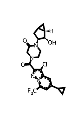 O=C(c1nn2c(C(F)(F)F)cc(C3CC3)cc2c1Cl)N1CCN([C@H]2CC3C[C@@H]3[C@H]2O)C(=O)C1